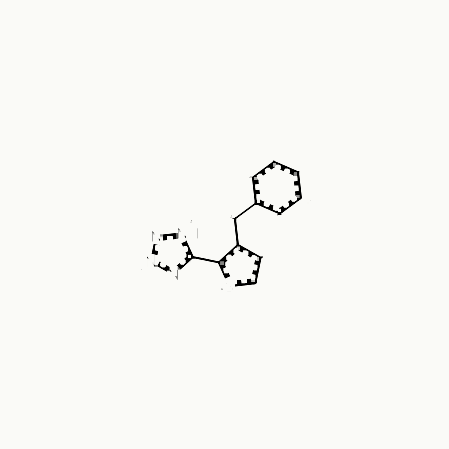 c1ccc(Cc2ccsc2-c2nnn[nH]2)cc1